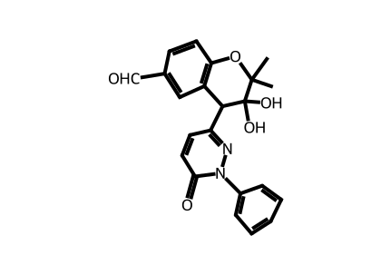 CC1(C)Oc2ccc(C=O)cc2C(c2ccc(=O)n(-c3ccccc3)n2)C1(O)O